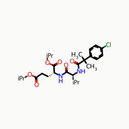 CC(C)OC(=O)CC[C@@H](NC(=O)[C@@H](NC(=O)C(C)(C)c1ccc(Cl)cc1)C(C)C)C(=O)OC(C)C